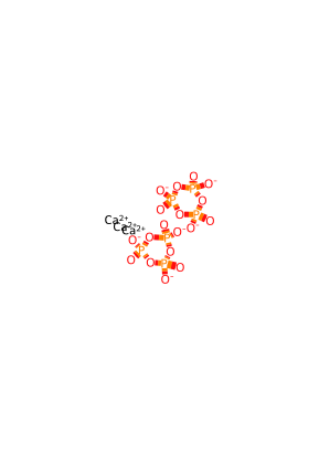 O=P1([O-])OP(=O)([O-])OP(=O)([O-])O1.O=P1([O-])OP(=O)([O-])OP(=O)([O-])O1.[Ca+2].[Ca+2].[Ca+2]